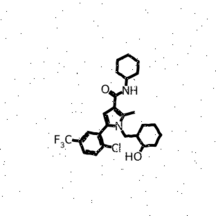 Cc1c(C(=O)NC2CCCCC2)cc(-c2cc(C(F)(F)F)ccc2Cl)n1CC1CCCCC1O